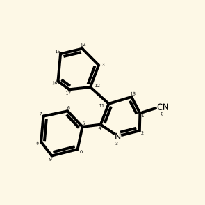 N#Cc1cnc(-c2ccccc2)c(-c2ccccc2)c1